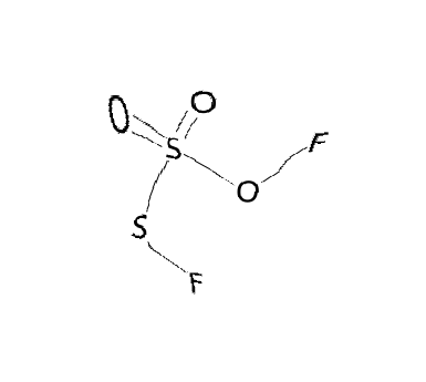 O=S(=O)(OF)SF